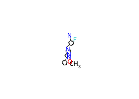 COc1ccccc1-c1cc2n(n1)CCN(Cc1ccc(F)c(C#N)c1)C2